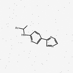 CC(=O)C(C)Nc1ccc(-c2cnccn2)cn1